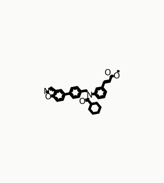 COC(=O)/C=C/c1cccc(N(Cc2ccc(-c3ccc4oncc4c3)cc2)C(=O)C2CCCCC2)c1